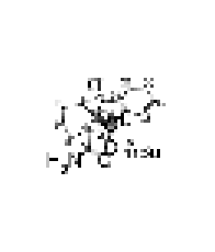 CCCCOC(=O)C1(C(N)=O)CCCCC1(O)C(=O)c1ccccc1